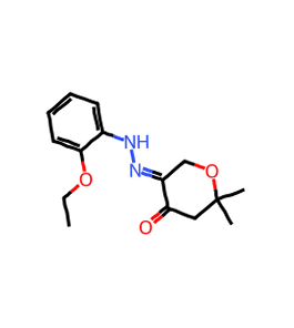 CCOc1ccccc1N/N=C1\COC(C)(C)CC1=O